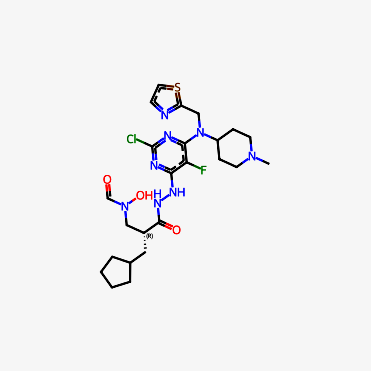 CN1CCC(N(Cc2nccs2)c2nc(Cl)nc(NNC(=O)[C@H](CC3CCCC3)CN(O)C=O)c2F)CC1